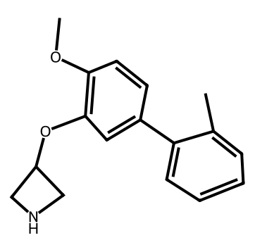 COc1ccc(-c2ccccc2C)cc1OC1CNC1